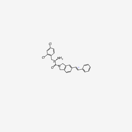 N[C@H](Cc1ccc(Cl)cc1Cl)C(=O)N1Cc2ccc(/C=C/c3ccccc3)cc2C1